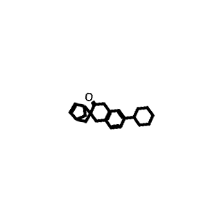 O=C1Cc2cc(C3CCCCC3)ccc2CC12CC1C=CC2C1